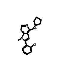 Cn1c(-c2ccccc2Cl)nc2c(NC3CCCC3)ncnc21